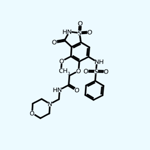 COc1c(OCC(=O)NCN2CCOCC2)c(NS(=O)(=O)c2ccccc2)cc2c1C(=O)NS2(=O)=O